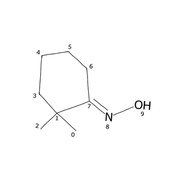 CC1(C)CCCCC1=NO